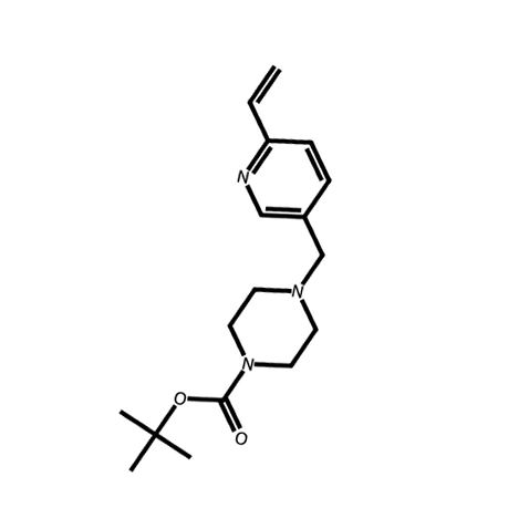 C=Cc1ccc(CN2CCN(C(=O)OC(C)(C)C)CC2)cn1